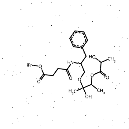 CC(C)OC(=O)CCC(=O)NC(COC(C)(O)C(C)OC(=O)C(C)O)Cc1ccccc1